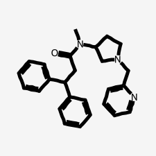 CN(C(=O)CC(c1ccccc1)c1ccccc1)C1CCN(Cc2ccccn2)C1